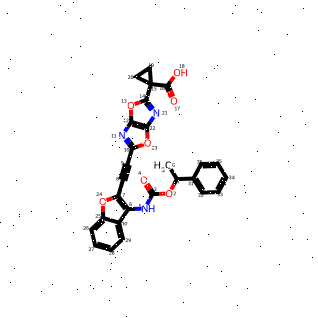 CC(OC(=O)Nc1c(C#Cc2nc3oc(C4(C(=O)O)CC4)nc3o2)oc2ccccc12)c1ccccc1